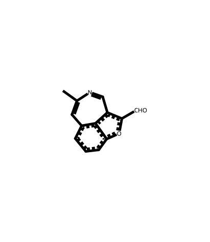 CC1=Cc2cccc3oc(C=O)c(c23)C=N1